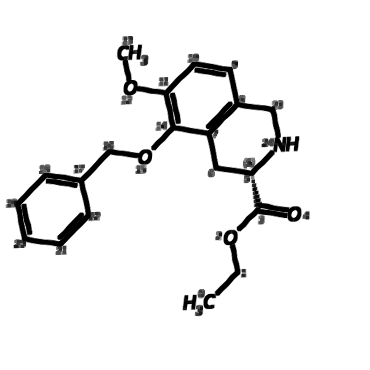 CCOC(=O)[C@@H]1Cc2c(ccc(OC)c2OCc2ccccc2)CN1